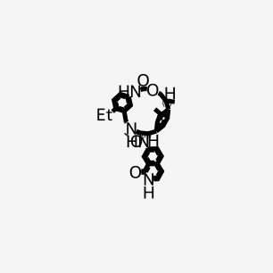 CCc1ccc2cc1CN(C)C(=O)[C@H](Nc1ccc3cc[nH]c(=O)c3c1)c1ccc(c(C)c1)[C@@H](C)COC(=O)N2